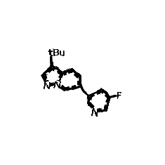 CC(C)(C)c1cnn2cc(-c3cncc(F)c3)ccc12